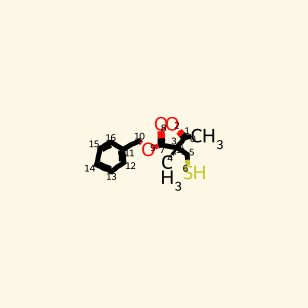 CC(=O)[C@](C)(CS)C(=O)OCc1ccccc1